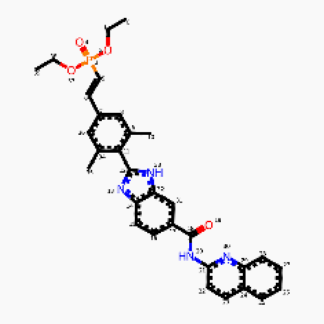 CCOP(=O)(C=Cc1cc(C)c(-c2nc3ccc(C(=O)Nc4ccc5ccccc5n4)cc3[nH]2)c(C)c1)OCC